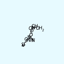 C=CCN(C)C(=O)OCC1CCc2c(sc(NC(=O)C=Cc3cccs3)c2C#N)C1